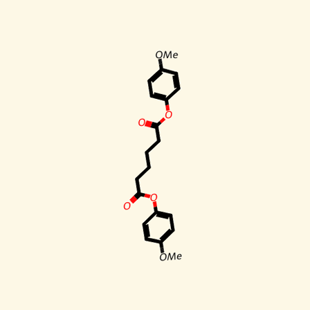 COc1ccc(OC(=O)CCCCC(=O)Oc2ccc(OC)cc2)cc1